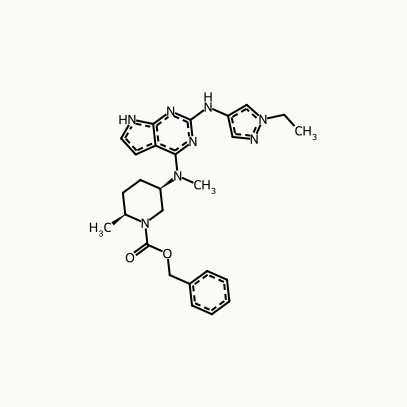 CCn1cc(Nc2nc(N(C)[C@@H]3CC[C@H](C)N(C(=O)OCc4ccccc4)C3)c3cc[nH]c3n2)cn1